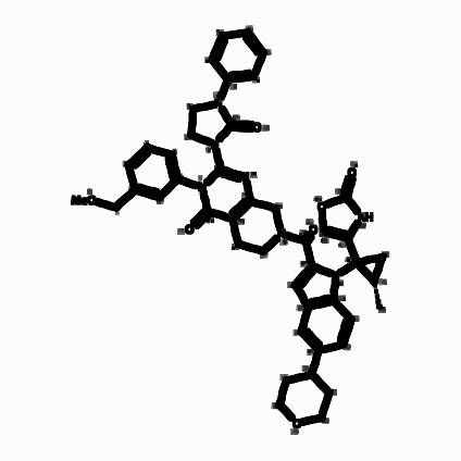 COCc1cccc(-n2c(N3CCN(c4ccccc4)C3=O)nc3c(c2=O)CCN(C(=O)c2cc4cc(C5CCOCC5)ccc4n2C2(c4noc(=O)[nH]4)C[C@@H]2C)C3)c1